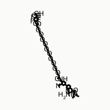 CCCN(OCC)C(=O)C1=Cc2ccc(-c3ccc(CNC(=O)CCOCCOCCOCCOCCOCCOCCOCCOCCOCCOCCC(=O)Oc4c(F)c(F)c(S(=O)(=O)O)c(F)c4F)c(C#N)c3)cc2N=C(N)C1